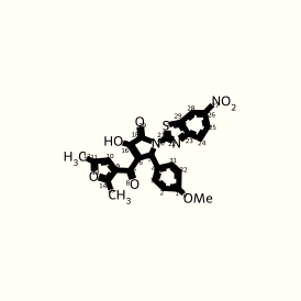 COc1ccc(C2C(C(=O)c3cc(C)oc3C)=C(O)C(=O)N2c2nc3ccc([N+](=O)[O-])cc3s2)cc1